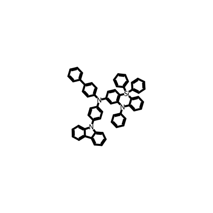 c1ccc(-c2ccc(N(c3ccc(-n4c5ccccc5c5ccccc54)cc3)c3ccc4c(c3)N(c3ccccc3)c3ccccc3[Si]4(c3ccccc3)c3ccccc3)cc2)cc1